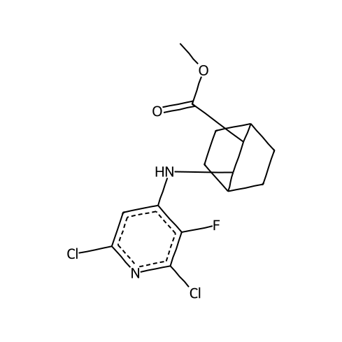 COC(=O)C1C2CCC(CC2)C1Nc1cc(Cl)nc(Cl)c1F